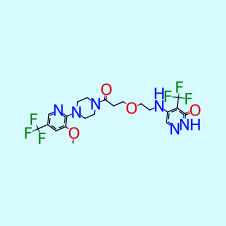 COc1cc(C(F)(F)F)cnc1N1CCN(C(=O)CCOCCNc2cn[nH]c(=O)c2C(F)(F)F)CC1